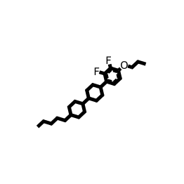 CCCCCC1CCC(C2CCC(c3ccc(OCCC)c(F)c3F)CC2)CC1